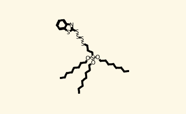 CCCCCCCCO[Si](CCCSSSSc1nc2ccccc2s1)(OCCCCCCCC)OCCCCCCCC